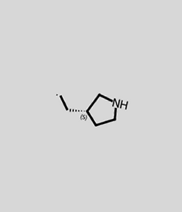 [CH2]C[C@H]1CCNC1